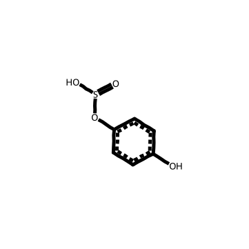 O=S(O)Oc1ccc(O)cc1